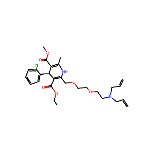 C=CCN(CC=C)CCOCCOCC1=C(C(=O)OCC)[C@@H](c2ccccc2Cl)C(C(=O)OC)=C(C)N1